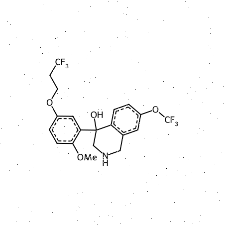 COc1ccc(OCCC(F)(F)F)cc1C1(O)CNCc2cc(OC(F)(F)F)ccc21